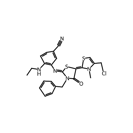 CCNc1ccc(C#N)cc1N=C1SC(=C2SC=C(CCl)N2C)C(=O)N1Cc1ccccc1